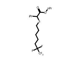 CCCOC(=O)C(SCCCCCC(F)(F)C(F)(F)F)C(C)C